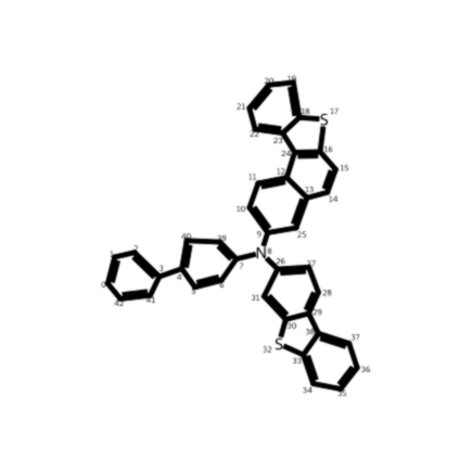 c1ccc(-c2ccc(N(c3ccc4c(ccc5sc6ccccc6c54)c3)c3ccc4c(c3)sc3ccccc34)cc2)cc1